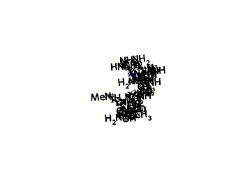 CNCCCCC(N)C(=O)N[C@H](C(=O)N[C@@H](C)C(=O)NCC(=O)N[C@H](CCCN)C(=O)N1CCC[C@H]1C(=O)N[C@@H](Cc1cnc[nH]1)C(=O)N[C@@H](CCCCN)C(=O)N/C(=C\CCNC(=N)N)C(N)=O)[C@@H](O)CN